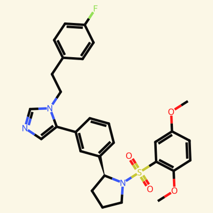 COc1ccc(OC)c(S(=O)(=O)N2CCC[C@H]2c2cccc(-c3cncn3CCc3ccc(F)cc3)c2)c1